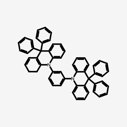 C1=CC2=C(CC1)N(c1cccc(N3c4ccccc4C(c4ccccc4)(c4ccccc4)c4ccccc43)c1)c1ccccc1C2(c1ccccc1)c1ccccc1